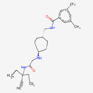 C#CC(CC)(CC)NC(=O)CN[C@H]1CC[C@H](CNC(=O)c2cc(C)cc(C)c2)CC1